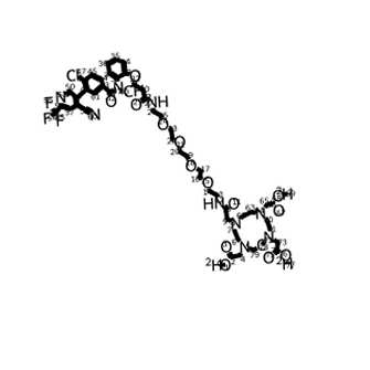 [2H]OC(=O)CN1CCN(CC(=O)NCCOCCOCCOCCOCCNC(=O)CCOc2ccccc2N(C)C(=O)c2ccc(Cl)c(-c3cnc(C(F)(F)F)cc3C#N)c2)CCN(CC(=O)O[2H])CCN(CC(=O)O[2H])CC1